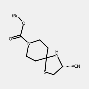 CC(C)(C)OC(=O)N1CCC2(CC1)N[C@H](C#N)CS2